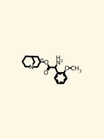 COc1ccccc1C(N)C(=O)O[C@@H]1CC2CCCN(C2)C1